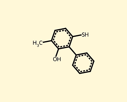 Cc1ccc(S)c(-c2ccccc2)c1O